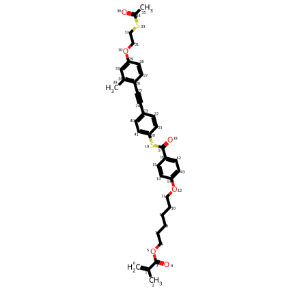 C=C(C)C(=O)OCCCCCCOc1ccc(C(=O)Sc2ccc(C#Cc3ccc(OCCSC(C)=O)cc3C)cc2)cc1